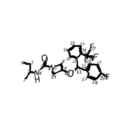 CCC(C)NC(=O)N1CC(OC(c2ccc(F)cc2)c2ccccc2C(F)(F)F)C1